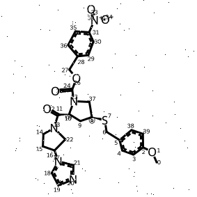 COc1ccc(CS[C@H]2C[C@@H](C(=O)N3CCC(n4ccnc4)C3)N(C(=O)OCc3ccc([N+](=O)[O-])cc3)C2)cc1